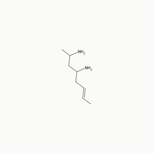 CC=CCC(N)CC(C)N